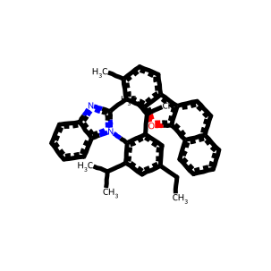 CCc1cc(C(C)C)c(-n2c(-c3c(C)ccc4c3oc3c5ccccc5ccc43)nc3ccccc32)c(C(C)C)c1